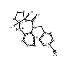 N#Cc1ccc(CN2C(=O)[C@H]3CCC[C@H]3Nc3ccccc32)cc1